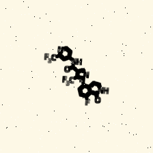 O=C(Nc1ccnc(C(F)(F)F)c1)c1cnn(-c2ccc(F)c3c(=O)[nH]ccc23)c1C(F)(F)F